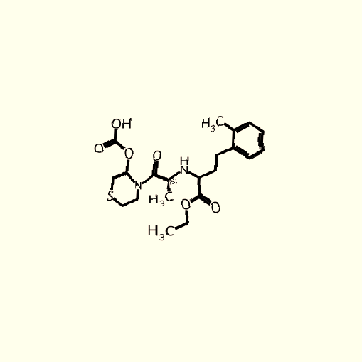 CCOC(=O)C(CCc1ccccc1C)N[C@@H](C)C(=O)N1CCSCC1OC(=O)O